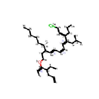 C=CCC(CC)/C(=C\C)OCCC(/C=C/C=C\C=C(/CC(C)C)C(=CCCl)CCC)[C@@H](C)CCCCC